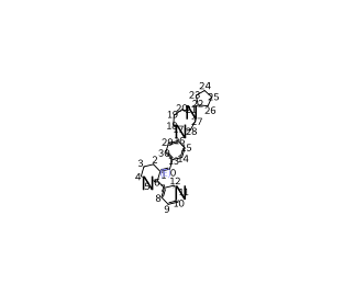 C(=C1/CCCN=C1c1cccnc1)/c1ccc(N2CCCN(C3CCCC3)CC2)cc1